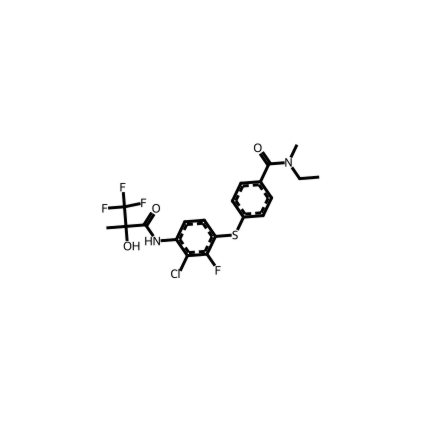 CCN(C)C(=O)c1ccc(Sc2ccc(NC(=O)C(C)(O)C(F)(F)F)c(Cl)c2F)cc1